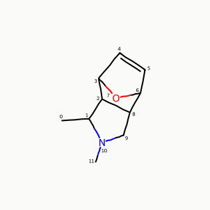 CC1C2C3C=CC(O3)C2CN1C